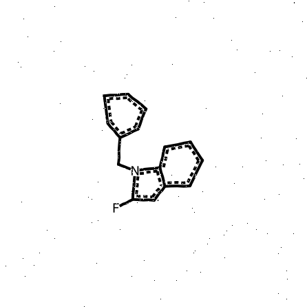 Fc1[c]c2ccccc2n1Cc1ccccc1